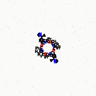 CC(C)C[C@H]1CO[C@H](C)CN(C)[C@@H](CC(C)C)CO[C@H](Cc2ccc(C(C3CC3)n3cccn3)cc2)CN(C)[C@@H](CC(C)C)CO[C@H](C)CN(C)[C@@H](CC(C)C)CO[C@H](Cc2ccc(C(C3CC3)n3cccn3)cc2)CN1C